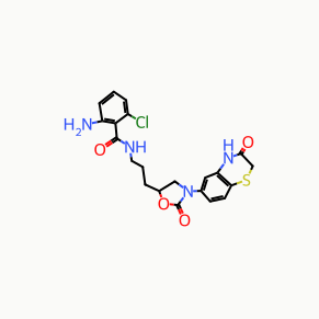 Nc1cccc(Cl)c1C(=O)NCCCC1CN(c2ccc3c(c2)NC(=O)CS3)C(=O)O1